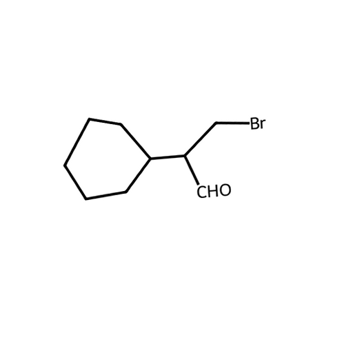 O=CC(CBr)C1CCCCC1